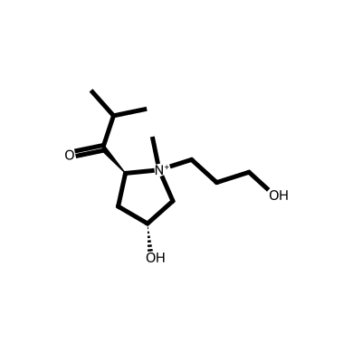 CC(C)C(=O)[C@@H]1C[C@@H](O)C[N+]1(C)CCCO